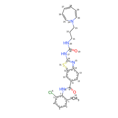 Cc1cccc(Cl)c1NC(=O)c1ccc2nc(NC(=O)NCCCN3C=CC=CC=C3)sc2c1